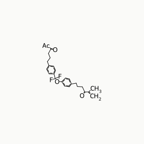 C=C(C)C(=O)CCCc1ccc(OC(F)(F)c2ccc(CCCC(=O)C(C)=O)cc2)cc1